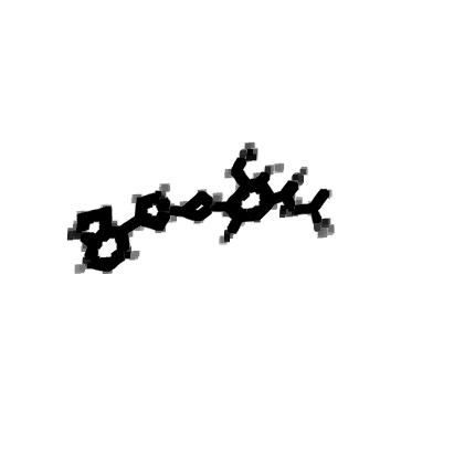 C[C@H](NC(=O)c1cc(F)c(N2CC(n3cc(-c4ncnc5[nH]ccc45)cn3)C2)c(CC#N)c1F)C(F)(F)F